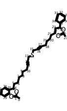 CC(=O)OC(CCCCCCC#CCSCC#CCCCCCCC(OC(C)=O)c1ccccc1)c1ccccc1